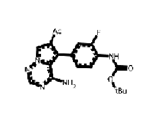 CC(=O)c1cn2ncnc(N)c2c1-c1ccc(NC(=O)OC(C)(C)C)c(F)c1